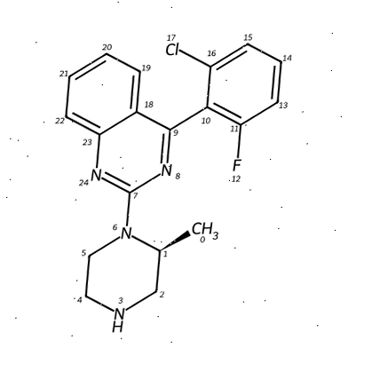 C[C@H]1CNCCN1c1nc(-c2c(F)cccc2Cl)c2ccccc2n1